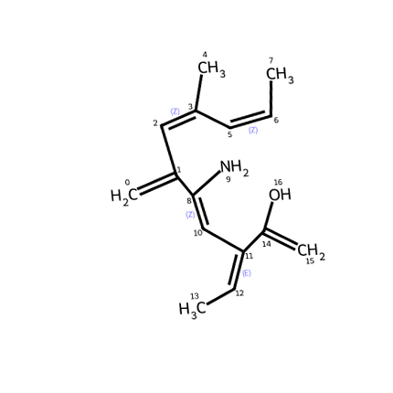 C=C(/C=C(C)\C=C/C)/C(N)=C/C(=C\C)C(=C)O